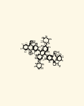 CN1c2ccccc2N(C)c2cc(-c3c4ccc(N5CCCCC5)cc4c(-c4ccc5c(c4)N(C)c4ccccc4N5C)c4ccc(N5CCCCC5)cc34)ccc21